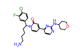 NCCCCC(c1ccc(Cl)c(F)c1)n1ccc(-c2ccnc(NC3CCOCC3)n2)cc1=O